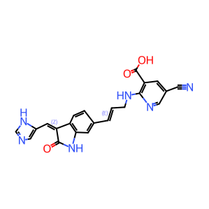 N#Cc1cnc(NC/C=C/c2ccc3c(c2)NC(=O)/C3=C\c2cnc[nH]2)c(C(=O)O)c1